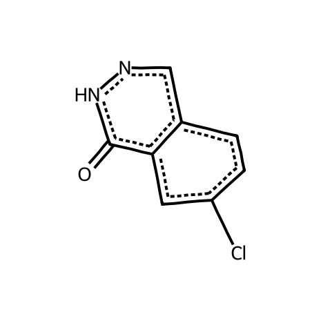 O=c1[nH]ncc2ccc(Cl)cc12